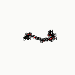 COc1cc(N2CCC(N3CCN(C(=O)CCOCCOCCOCCNc4cccc5c4C(=O)N(C4CCC(=O)NC4=O)C5=O)CC3)CC2)ccc1Nc1ncc(Cl)c(Nc2ccccc2S(=O)(=O)C(C)C)n1